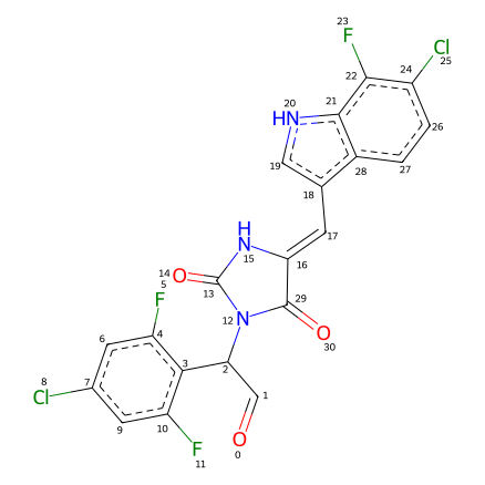 O=CC(c1c(F)cc(Cl)cc1F)N1C(=O)N/C(=C\c2c[nH]c3c(F)c(Cl)ccc23)C1=O